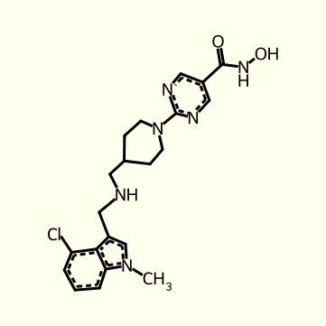 Cn1cc(CNCC2CCN(c3ncc(C(=O)NO)cn3)CC2)c2c(Cl)cccc21